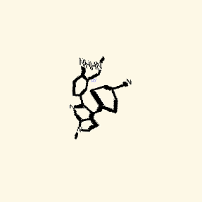 CN/C=C1/C=C(c2ncc3c(ccn3C)c2-c2ccc(C#N)cc2)C=CC1=N